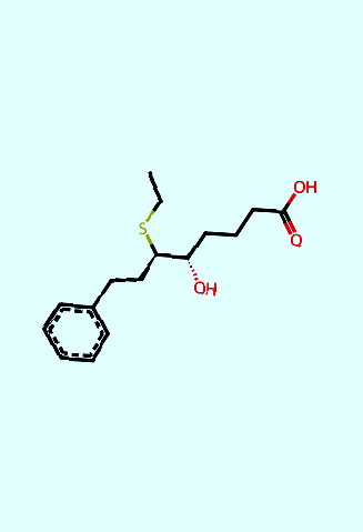 CCS[C@H](CCc1ccccc1)[C@@H](O)CCCC(=O)O